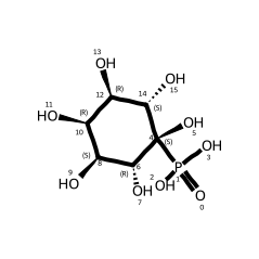 O=P(O)(O)[C@]1(O)[C@H](O)[C@@H](O)[C@@H](O)[C@@H](O)[C@@H]1O